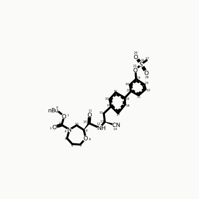 CCCCOC(=O)N1CCCO[C@H](C(=O)N[C@H](C#N)Cc2ccc(-c3cccc(OS(C)(=O)=O)c3)cc2)C1